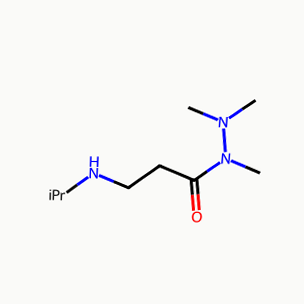 CC(C)NCCC(=O)N(C)N(C)C